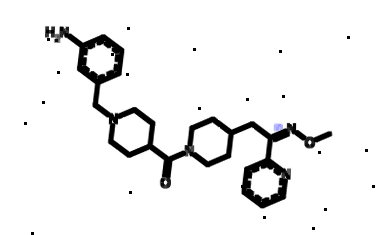 CO/N=C(/CC1CCN(C(=O)C2CCN(Cc3cccc(N)c3)CC2)CC1)c1ccccn1